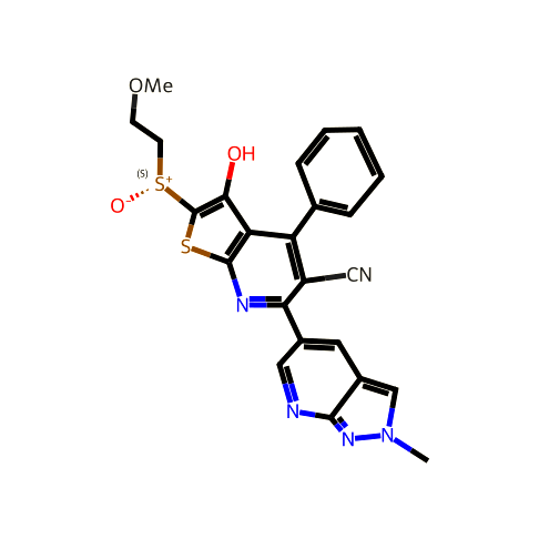 COCC[S@@+]([O-])c1sc2nc(-c3cnc4nn(C)cc4c3)c(C#N)c(-c3ccccc3)c2c1O